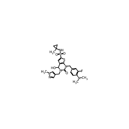 CN(C)c1ccc(CN2C(=O)N(Cc3cnn(C)c3)C(O)c3cc(S(=O)(=O)NC4(C)CC4)sc32)cc1F